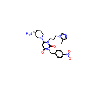 Cc1cncn1CCCn1c(N2CCC[C@@H](N)C2)cc(=O)n(Cc2ccc([N+](=O)[O-])cc2)c1=O